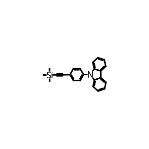 C[Si](C)(C)C#Cc1ccc(-n2c3ccccc3c3ccccc32)cc1